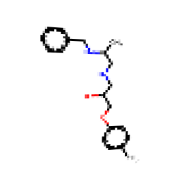 Cc1ccc(OCC(O)CNCC(C)NCc2ccccc2)cc1